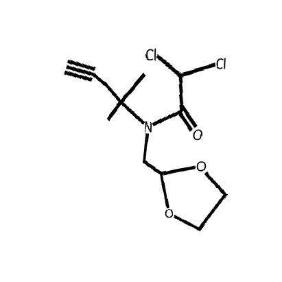 C#CC(C)(C)N(CC1OCCO1)C(=O)C(Cl)Cl